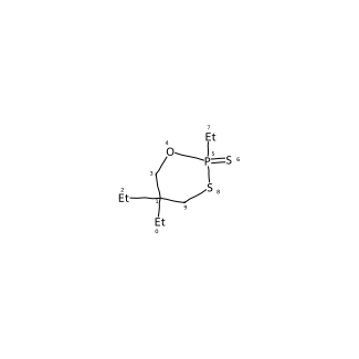 CCC1(CC)COP(=S)(CC)SC1